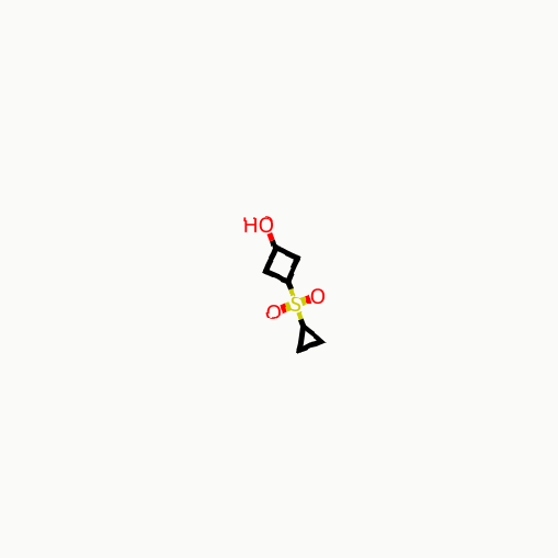 O=S(=O)(C1CC1)C1CC(O)C1